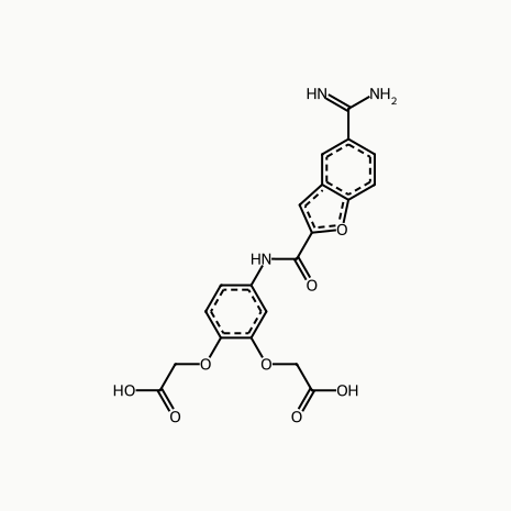 N=C(N)c1ccc2oc(C(=O)Nc3ccc(OCC(=O)O)c(OCC(=O)O)c3)cc2c1